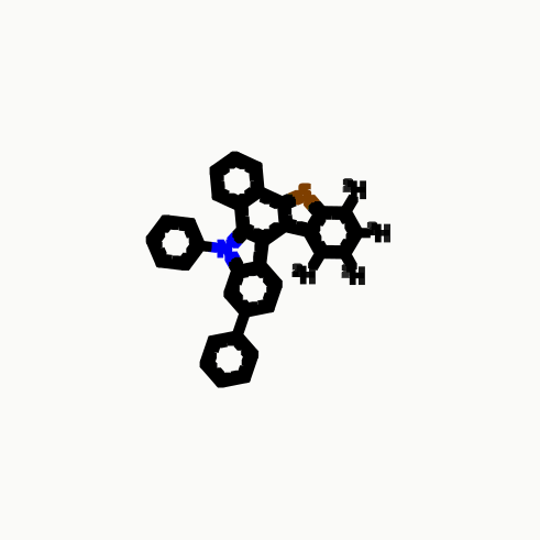 [2H]c1c([2H])c([2H])c2c(sc3c4ccccc4c4c(c5ccc(-c6ccccc6)cc5n4-c4ccccc4)c32)c1[2H]